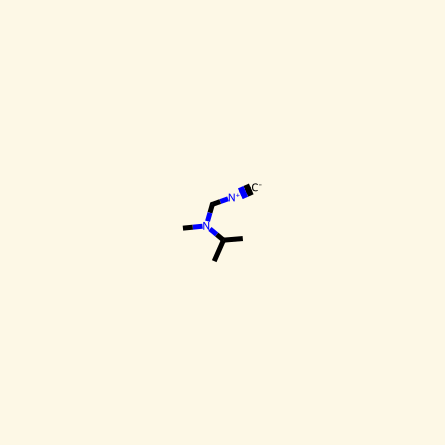 [C-]#[N+]CN(C)C(C)C